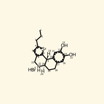 Br.CCCc1cc2c(s1)[C@@H]1c3cc(O)c(O)cc3CC[C@H]1NC2